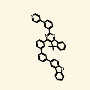 CC1(C)c2ccccc2-c2nc(-c3cccc(-c4ccncc4)c3)nc(-c3cccc(-c4cccc(-c5ccc6oc7ccccc7c6c5)c4)c3)c21